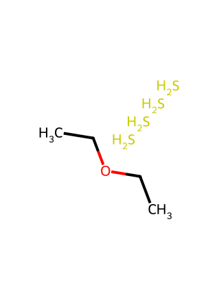 CCOCC.S.S.S.S